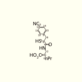 CCCC(CNC(=O)C(S)Cc1ccc(C#N)cc1)C(=O)O